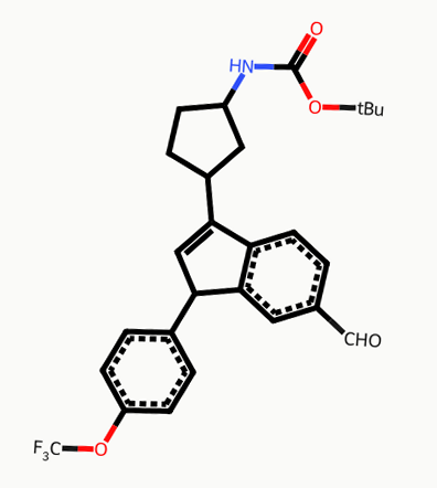 CC(C)(C)OC(=O)NC1CCC(C2=CC(c3ccc(OC(F)(F)F)cc3)c3cc(C=O)ccc32)C1